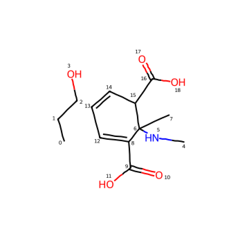 CCCO.CNC1(C)C(C(=O)O)=CC=CC1C(=O)O